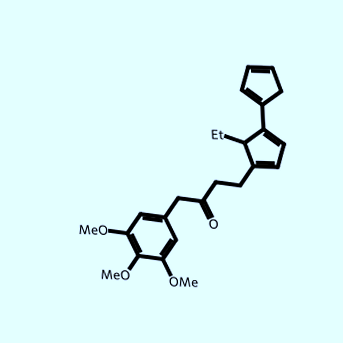 CCC1C(CCC(=O)Cc2cc(OC)c(OC)c(OC)c2)=CC=C1C1=CC=CC1